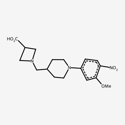 COc1cc(N2CCC(CN3CC(C(=O)O)C3)CC2)ccc1[N+](=O)[O-]